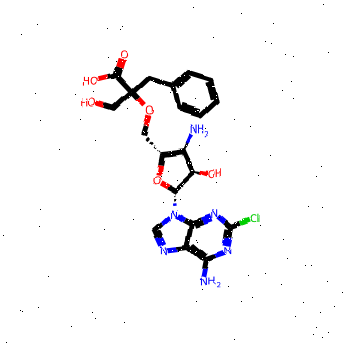 Nc1nc(Cl)nc2c1ncn2[C@@H]1O[C@H](COC(CO)(Cc2ccccc2)C(=O)O)[C@@H](N)[C@H]1O